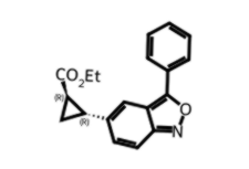 CCOC(=O)[C@@H]1C[C@H]1c1ccc2noc(-c3ccccc3)c2c1